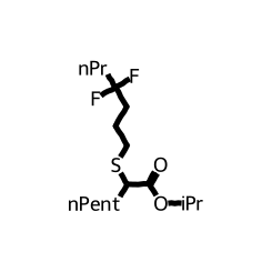 CCCCCC(SCCCC(F)(F)CCC)C(=O)OC(C)C